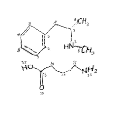 CN[C@@H](C)Cc1ccccc1.NCCCC(=O)O